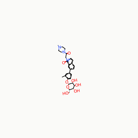 Cc1cc(-c2ccc3ccn(CC(=O)N4CCN(C)CC4)c(=O)c3c2)ccc1O[C@H]1O[C@@H](CO)[C@@H](O)[C@H](O)[C@H]1O